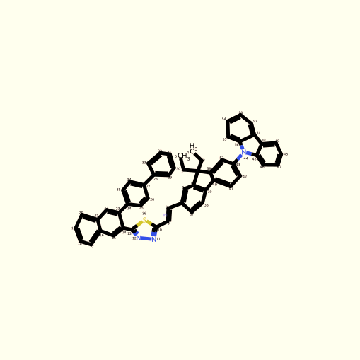 CCC1(CC)c2cc(/C=C/c3nnc(-c4cc5ccccc5cc4-c4ccc(-c5ccccc5)cc4)s3)ccc2-c2ccc(-n3c4ccccc4c4ccccc43)cc21